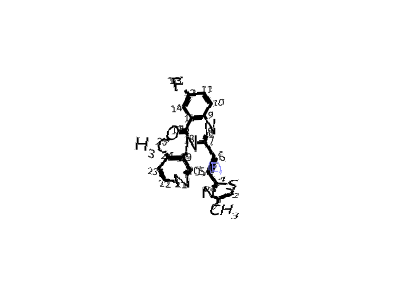 Cc1csc(/C=C/c2nc3ccc(F)cc3c(=O)n2-c2cnccc2C)n1